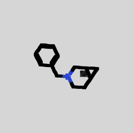 N#CC12CCN(Cc3ccccc3)CC1C2